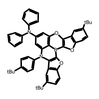 CC(C)(C)c1ccc(N2c3cc(N(c4ccccc4)c4ccccc4)cc4c3B(c3oc5ccc(C(C)(C)C)cc5c3O4)c3oc4ccc(C(C)(C)C)cc4c32)cc1